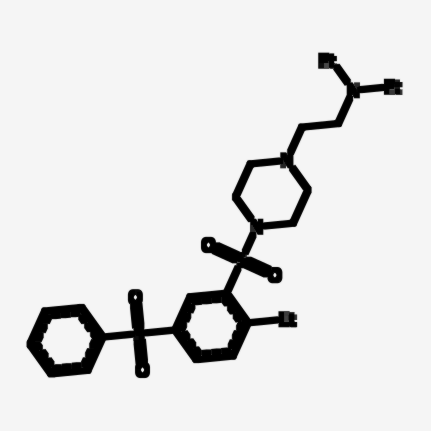 CCc1ccc(S(=O)(=O)c2ccccc2)cc1S(=O)(=O)N1CCN(CCN(CC)CC)CC1